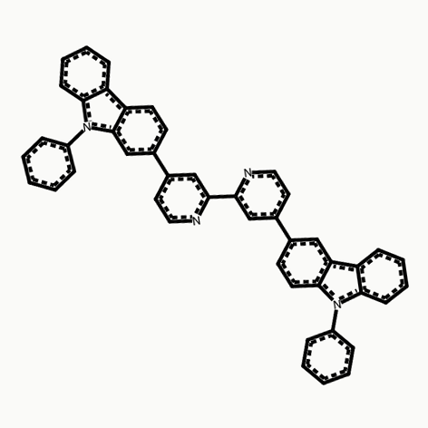 c1ccc(-n2c3ccccc3c3cc(-c4ccnc(-c5cc(-c6ccc7c8ccccc8n(-c8ccccc8)c7c6)ccn5)c4)ccc32)cc1